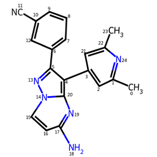 Cc1cc(-c2c(-c3cccc(C#N)c3)nn3ccc(N)nc23)cc(C)n1